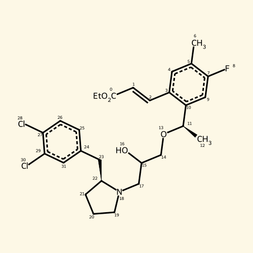 CCOC(=O)/C=C/c1cc(C)c(F)cc1[C@@H](C)OCC(O)CN1CCC[C@H]1Cc1ccc(Cl)c(Cl)c1